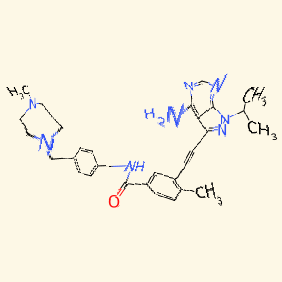 Cc1ccc(C(=O)Nc2ccc(CN3CCN(C)CC3)cc2)cc1C#Cc1nn(C(C)C)c2ncnc(N)c12